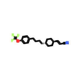 N#C/C=C/[C@H]1CC[C@H](CCCCc2ccc(OC(F)(F)F)cc2)CC1